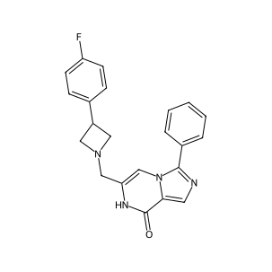 O=c1[nH]c(CN2CC(c3ccc(F)cc3)C2)cn2c(-c3ccccc3)ncc12